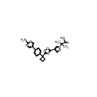 CC(C)(C(=O)O)n1cc(-c2nc(C3(c4ccc(-c5cnc(N)nc5)cc4)CCC3)no2)cn1